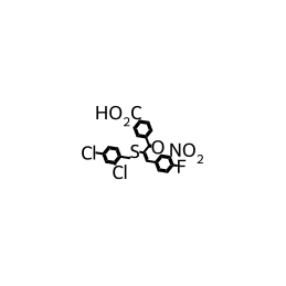 O=C(O)c1ccc(C(=O)/C(=C\c2ccc(F)c([N+](=O)[O-])c2)SCc2ccc(Cl)cc2Cl)cc1